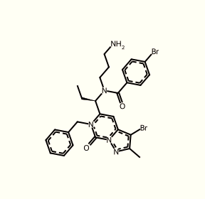 CC[C@H](c1cc2c(Br)c(C)nn2c(=O)n1Cc1ccccc1)N(CCCN)C(=O)c1ccc(Br)cc1